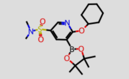 CN(C)S(=O)(=O)c1cnc(OC2CCCCC2)c(B2OC(C)(C)C(C)(C)O2)c1